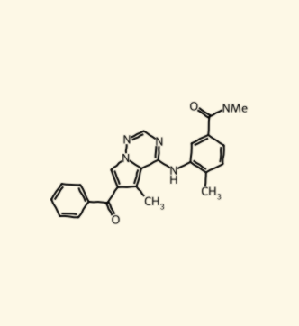 CNC(=O)c1ccc(C)c(Nc2ncnn3cc(C(=O)c4ccccc4)c(C)c23)c1